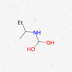 CCC(C)NC(O)O